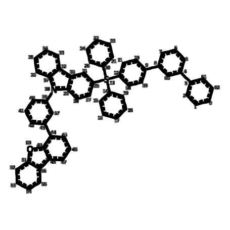 c1ccc(-c2cccc(-c3ccc(S(c4ccccc4)(c4ccccc4)c4ccc5c(c4)c4ccccc4n5-c4cccc(-c5cccc6c5oc5ccccc56)c4)cc3)c2)cc1